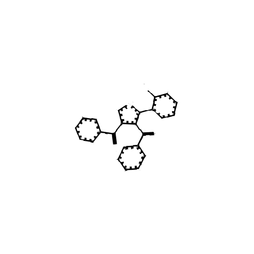 O=C(c1ccccc1)c1c[nH]c(-c2ccccc2O)c1C(=O)c1ccccc1